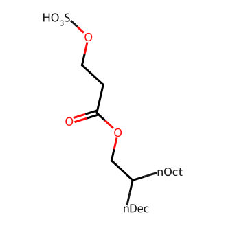 CCCCCCCCCCC(CCCCCCCC)COC(=O)CCOS(=O)(=O)O